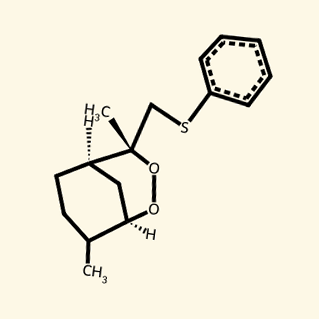 CC1CC[C@@H]2C[C@H]1OO[C@@]2(C)CSc1ccccc1